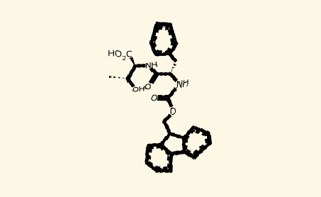 C[C@@H](O)[C@H](NC(=O)[C@H](Cc1ccccc1)NC(=O)OCC1c2ccccc2-c2ccccc21)C(=O)O